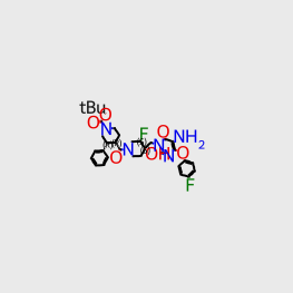 CC(C)(C)OC(=O)N1CC[C@@H](C(=O)N2CC[C@](O)(Cn3cnc(Oc4ccc(F)cc4)c(N)c3=O)[C@@H](F)C2)[C@H](c2ccccc2)C1